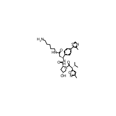 Cc1cc([C@H](C(=O)N2C[C@H](O)C[C@H]2C(=O)N[C@@H](CC(=O)NCCCCCN)c2ccc(-c3scnc3C)cc2)C(C)C)on1